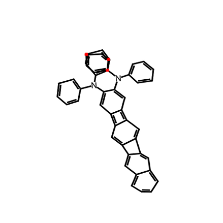 c1ccc(N(c2ccccc2)c2cc3c(cc2N(c2ccccc2)c2ccccc2)c2cc4c5cc6ccccc6cc5c4cc32)cc1